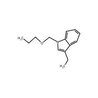 CCCOCn1cc(CC)c2ccccc21